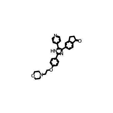 O=C1CCc2cc(-c3nc(-c4ccc(OCCN5CCOCC5)cc4)[nH]c3-c3ccncc3)ccc21